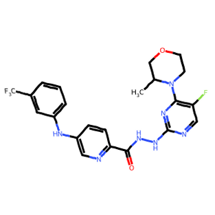 CC1COCCN1c1nc(NNC(=O)c2ccc(Nc3cccc(C(F)(F)F)c3)cn2)ncc1F